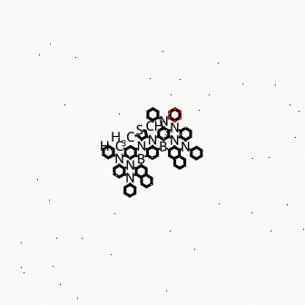 Cc1cc2c3c4c1N(c1ccccc1)c1cccc5c1N4c1c(cc4ccccc4c1N5c1ccccc1)B3c1ccc3c4c1N2c1c(C)sc(C)c1N4c1cc(N(c2ccccc2)c2ccccc2)c2c4c1B3c1cc3ccccc3c3c1N4c1c(cccc1N3c1ccccc1)N2c1ccccc1